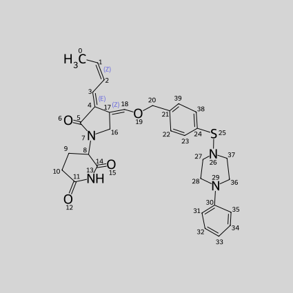 C\C=C/C=C1/C(=O)N(C2CCC(=O)NC2=O)C/C1=C\OCc1ccc(SN2CCN(c3ccccc3)CC2)cc1